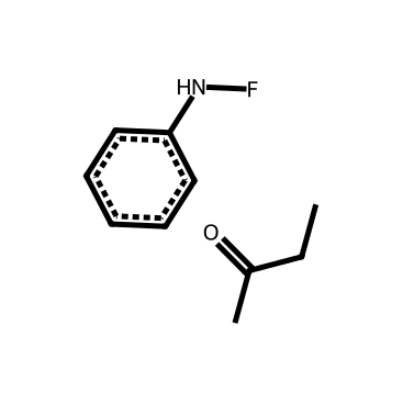 CCC(C)=O.FNc1ccccc1